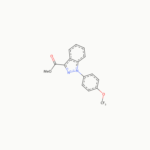 COC(=O)c1nn(-c2ccc(OC(F)(F)F)cc2)c2ccccc12